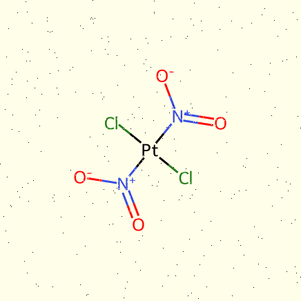 O=[N+]([O-])[Pt]([Cl])([Cl])[N+](=O)[O-]